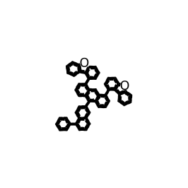 c1ccc(-c2cccc3cc(-c4c5cccc(-c6cccc7oc8ccccc8c67)c5cc5c(-c6cccc7oc8ccccc8c67)cccc45)ccc23)cc1